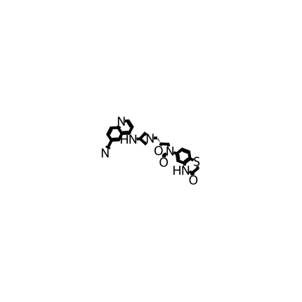 N#Cc1ccc2nccc(NC3CN(C[C@@H]4CN(c5ccc6c(c5)NC(=O)CS6)C(=O)O4)C3)c2c1